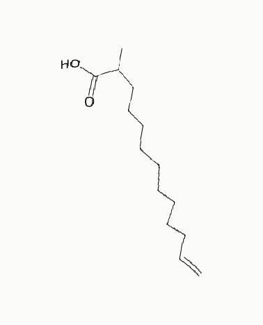 C=CCCCCCCCCCC(C)C(=O)O